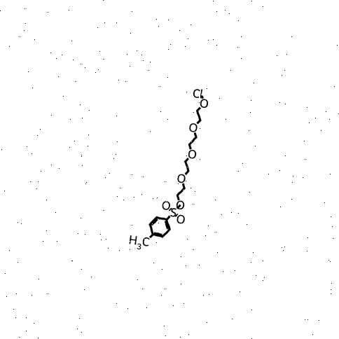 Cc1ccc(S(=O)(=O)OCCOCCOCCOCCOCl)cc1